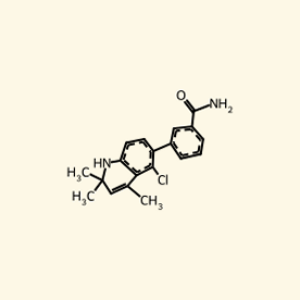 CC1=CC(C)(C)Nc2ccc(-c3cccc(C(N)=O)c3)c(Cl)c21